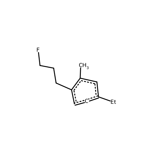 CCc1ccc(CCCF)c(C)c1